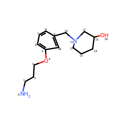 NCCCOc1cccc(CN2CCCC(O)C2)c1